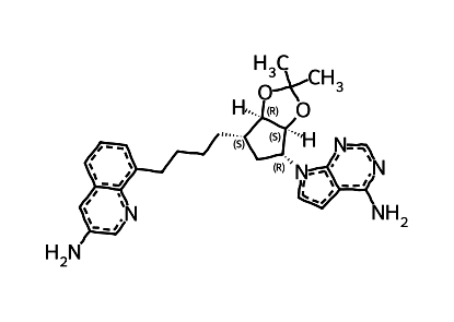 CC1(C)O[C@@H]2[C@@H](CCCCc3cccc4cc(N)cnc34)C[C@@H](n3ccc4c(N)ncnc43)[C@@H]2O1